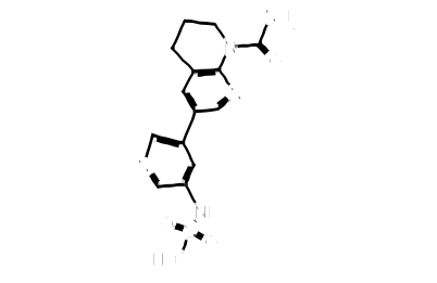 CS(=O)(=O)Nc1cncc(-c2cnc3c(c2)CCCN3C(N)=O)c1